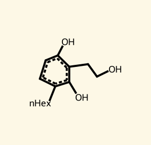 CCCCCCc1ccc(O)c(CCO)c1O